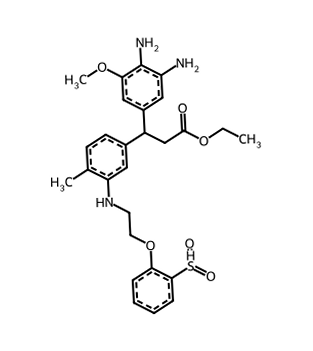 CCOC(=O)CC(c1ccc(C)c(NCCOc2ccccc2[SH](=O)=O)c1)c1cc(N)c(N)c(OC)c1